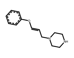 C(=COc1ccccc1)CN1CCNCC1